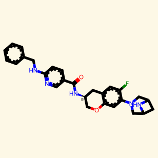 O=C(N[C@@H]1COc2cc(N3CC4CC(C3)N4)c(F)cc2C1)c1ccc(NCc2ccccc2)nc1